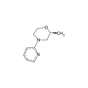 C[C@H]1CN(c2ccccn2)CCO1